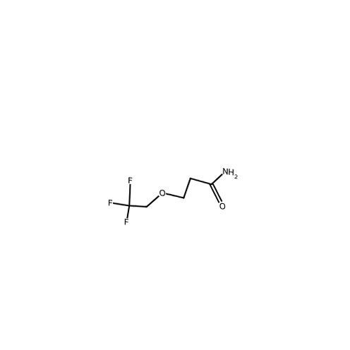 NC(=O)CCOCC(F)(F)F